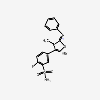 Br.Cn1c(-c2ccc(F)c(S(N)(=O)=O)c2)cs/c1=N/c1ccccc1